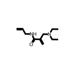 C=CCNC(=O)C(=C)CN(CC)CC